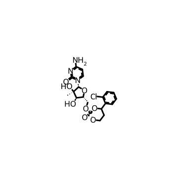 C[C@@]1(O)[C@H](O)[C@@H](COP2(=O)OCCC(c3ccccc3Cl)O2)O[C@H]1n1ccc(N)nc1=O